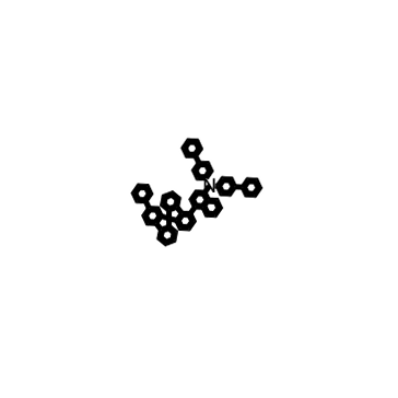 c1ccc(-c2ccc(N(c3ccc(-c4ccccc4)cc3)c3ccc(-c4cccc5c4-c4ccccc4C54c5ccccc5-c5ccc(-c6ccccc6)cc54)c4ccccc34)cc2)cc1